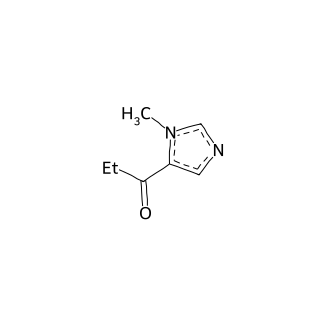 CCC(=O)c1cncn1C